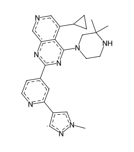 Cn1cc(-c2cc(-c3nc(N4CCNC(C)(C)C4)c4c(C5CC5)cncc4n3)ccn2)[c]n1